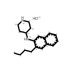 CCCCc1cc2ccccc2cc1NC1CCNCC1.Cl